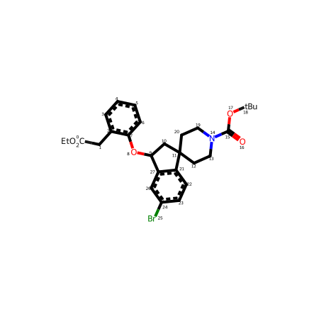 CCOC(=O)Cc1ccccc1OC1CC2(CCN(C(=O)OC(C)(C)C)CC2)c2ccc(Br)cc21